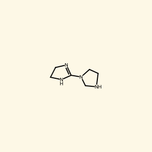 C1CNC(N2CCNC2)=N1